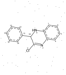 ClC1=Nc2ccccc2NC1c1ccccc1